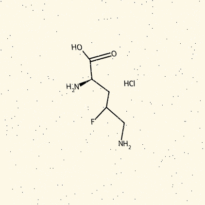 Cl.NCC(F)C[C@@H](N)C(=O)O